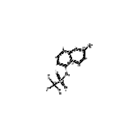 O=S(=O)(Oc1ccnc2cc(O)ccc12)C(F)(F)F